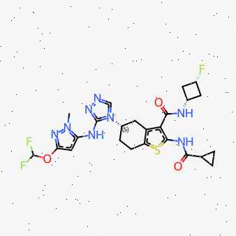 Cn1nc(OC(F)F)cc1Nc1nncn1[C@H]1CCc2sc(NC(=O)C3CC3)c(C(=O)N[C@H]3C[C@@H](F)C3)c2C1